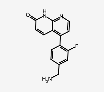 NCc1ccc(-c2ccnc3[nH]c(=O)ccc23)c(F)c1